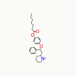 CCCCCCC(=O)Oc1ccc(OC(CC2CCCCN2C)c2ccccc2)cc1